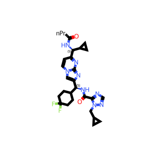 CCCC(=O)N[C@H](c1ccn2cc([C@@H](NC(=O)c3ncnn3CC3CC3)C3CCC(F)(F)CC3)nc2n1)C1CC1